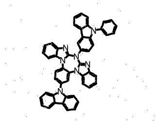 c1ccc(-n2c3ccccc3c3cc(-n4c5nc6ccccc6n5c5ccc(-n6c7ccccc7c7ccccc76)cc5n5c6ccccc6nc45)ccc32)cc1